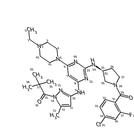 CCN1CCN(c2cc(Nc3cc(C)n(C(=O)C(C)(C)C)n3)nc(N[C@H]3CCN(C(=O)c4ccc(Cl)cc4F)C3)n2)CC1